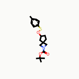 Cc1ccc(SOC2CCC3(C2)CN(C(=O)OC(C)(C)C)C3)cc1